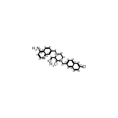 C[C@H]1C(C=O)N(Cc2ccc3c(N)ccnc3c2)CCN1Cc1ccc2cc(Cl)ccc2c1